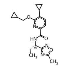 CC[C@H](NC(=O)c1ccc(C2CC2)c(OCC2CC2)n1)c1noc(C)n1